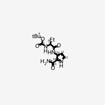 CCC(NC(=O)OC(C)(C)C)C(=O)Nc1cc[nH]c1C(N)=O